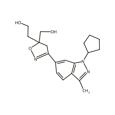 Cc1nn(C2CCCC2)c2cc(C3=NOC(CO)(CCO)C3)ccc12